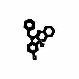 [O-][N+]12CC3CCCCC3N=C1N(Cc1ccccc1)c1ccc(Cl)cc12